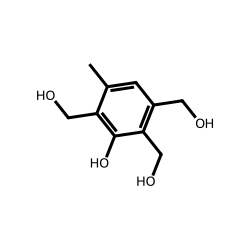 Cc1cc(CO)c(CO)c(O)c1CO